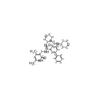 Cc1cc(C)c(CNC(=O)C2C=C(c3ccccc3)C=C(NC3CCOCC3)C2(C)CN2CCOCC2)c(=O)[nH]1